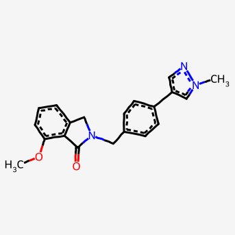 COc1cccc2c1C(=O)N(Cc1ccc(-c3cnn(C)c3)cc1)C2